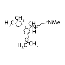 C=C(C)OCc1ccc(C[C@@H]2CC[C@H](C)C(C)C2)c(C(=C)NCCCCCNC)c1